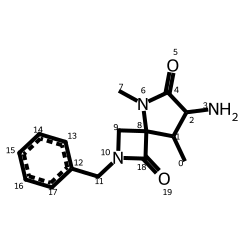 CC1C(N)C(=O)N(C)C12CN(Cc1ccccc1)C2=O